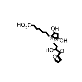 O=C(O)CCCCCC[C@@H]1[C@@H](CCC(O)C(=O)c2ccco2)[C@H](O)C[C@@H]1O